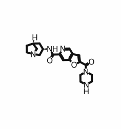 O=C(N[C@@H]1C[C@@H]2CCN(C2)C1)c1cc2oc(C(=O)N3CCNCC3)cc2cn1